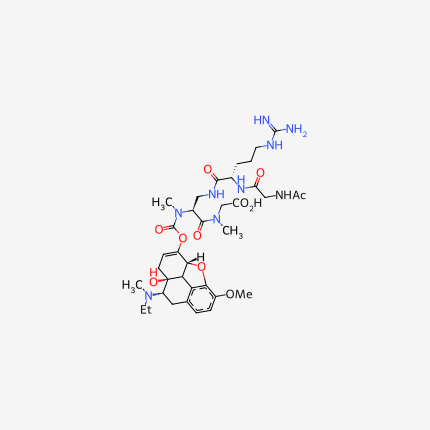 CCN(C)[C@@H]1Cc2ccc(OC)c3c2C2[C@@H](O3)C(OC(=O)N(C)[C@@H](CNC(=O)[C@H](CCCNC(=N)N)NC(=O)CNC(C)=O)C(=O)N(C)CC(=O)O)=CC[C@]21O